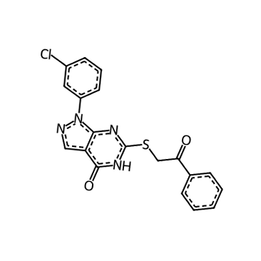 O=C(CSc1nc2c(cnn2-c2cccc(Cl)c2)c(=O)[nH]1)c1ccccc1